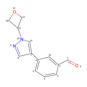 O=Cc1cccc(-c2cnn(C3COC3)c2)c1